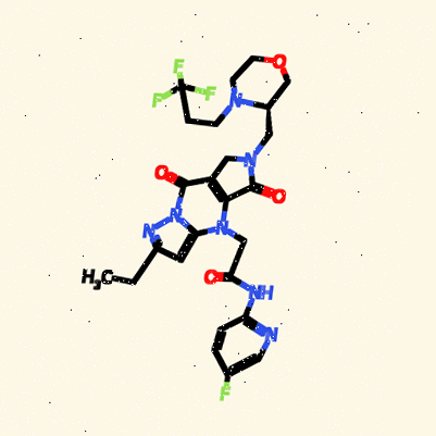 CCc1cc2n(CC(=O)Nc3ccc(F)cn3)c3c(c(=O)n2n1)CN(C[C@@H]1COCCN1CCC(F)(F)F)C3=O